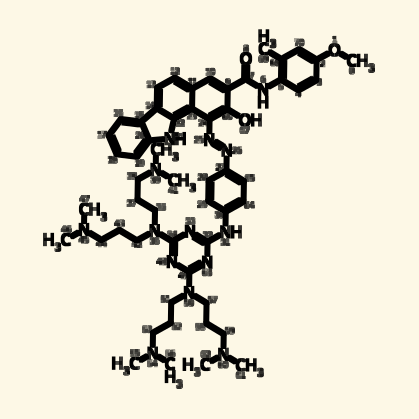 COc1ccc(NC(=O)c2cc3ccc4c5ccccc5[nH]c4c3c(N=Nc3ccc(Nc4nc(N(CCCN(C)C)CCCN(C)C)nc(N(CCCN(C)C)CCCN(C)C)n4)cc3)c2O)c(C)c1